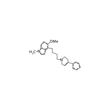 COc1ccc2c(ccn2C)c1CCCCN1CC=C(c2ccccc2)CC1